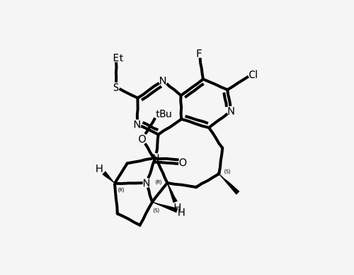 CCSc1nc2c3c(nc(Cl)c(F)c3n1)C[C@@H](C)C[C@@H]1[C@@H]3CC[C@H](CN21)N3C(=O)OC(C)(C)C